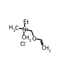 C=COC[N+](C)(C)CC.[Cl-]